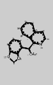 CC(=O)OC(c1cccc2c1OCO2)c1nccc2ccccc12